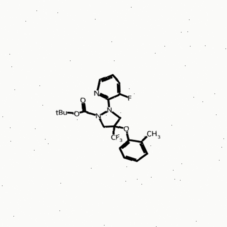 Cc1ccccc1OC1(C(F)(F)F)CN(C(=O)OC(C)(C)C)N(c2ncccc2F)C1